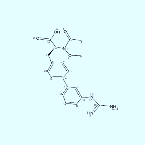 CON(C(C)=O)[C@@H](Cc1ccc(-c2cccc(NC(=N)N)c2)cc1)C(=O)O